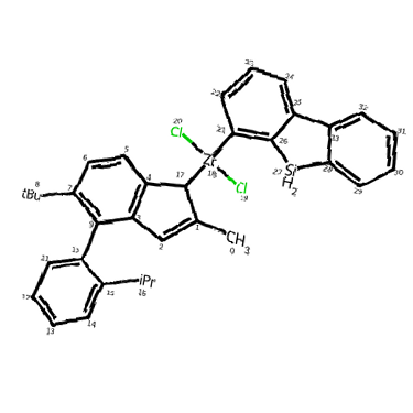 CC1=Cc2c(ccc(C(C)(C)C)c2-c2ccccc2C(C)C)[CH]1[Zr]([Cl])([Cl])[c]1cccc2c1[SiH2]c1ccccc1-2